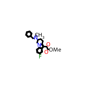 COC(=O)C(=O)c1c2n(c3ccc(F)cc13)CC(N(C)Cc1ccccc1)CC2